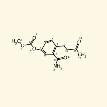 COC(=O)Oc1ccc(CCC(C)=O)c(C(N)=O)c1